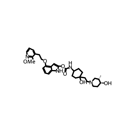 COc1ncccc1CCOc1cccc2[nH]c(OC(=O)NC3CCC(O)(CCN4CC[C@H](O)[C@@H](C)C4)CC3)cc12